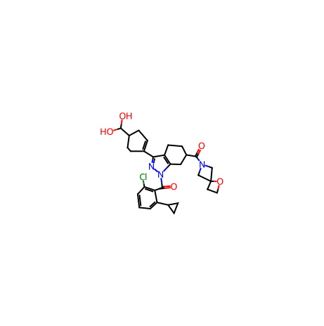 O=C(C1CCc2c(C3=CCC(C(O)O)CC3)nn(C(=O)c3c(Cl)cccc3C3CC3)c2C1)N1CC2(CCO2)C1